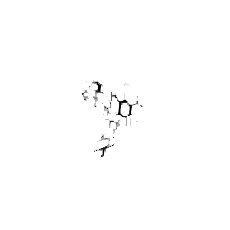 CC(C)c1cc(NCCO[Si](C)(C)C(C)(C)C)cc(CN(C(=O)OC(C)(C)C)c2ccnc3ccnn23)c1F